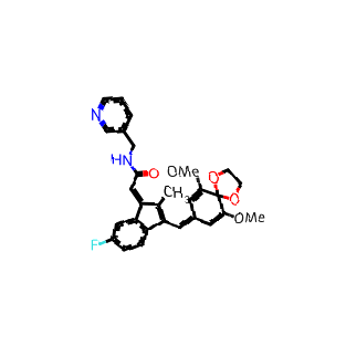 COC1=CC(=CC2=C(C)/C(=C\C(=O)NCc3cccnc3)c3cc(F)ccc32)C=C(OC)C12OCCO2